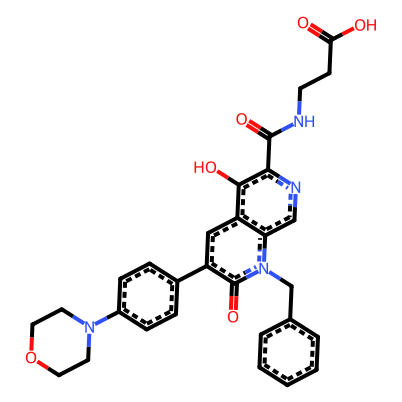 O=C(O)CCNC(=O)c1ncc2c(cc(-c3ccc(N4CCOCC4)cc3)c(=O)n2Cc2ccccc2)c1O